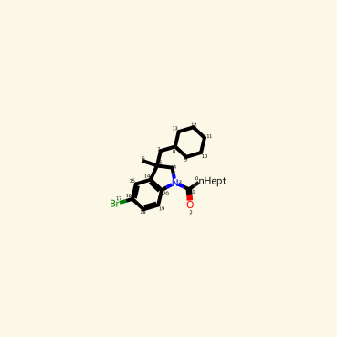 CCCCCCCC(=O)N1CC(C)(CC2CCCCC2)c2cc(Br)ccc21